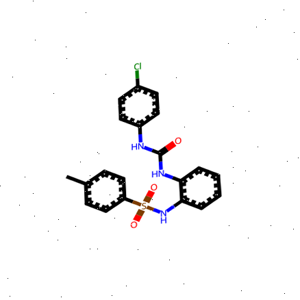 Cc1ccc(S(=O)(=O)Nc2ccccc2NC(=O)Nc2ccc(Cl)cc2)cc1